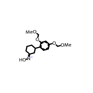 COCOc1ccc(C2CCC/C(=N\O)C2)c(OCOC)c1